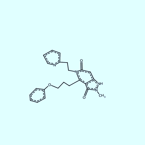 Cn1[nH]c2cc(=O)n(CCc3ccccn3)c(CCCOc3ccccc3)c2c1=O